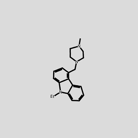 CCn1c2ccccc2c2c(CN3CCN(C)CC3)cccc21